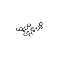 c1ccc(-c2nc(-c3ccc4oc5ccccc5c4c3)nc(-c3cccc4c3oc3c(-n5c6ccccc6c6cc7ccccc7cc65)cccc34)n2)cc1